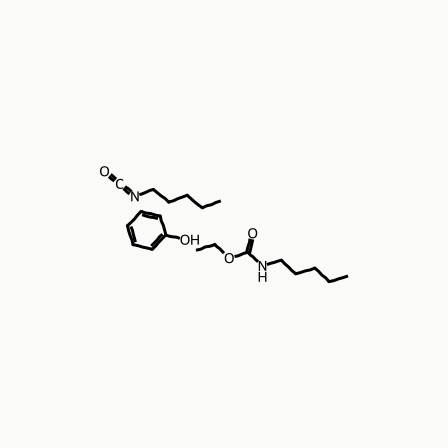 CCCCCN=C=O.CCCCCNC(=O)OCC.Oc1ccccc1